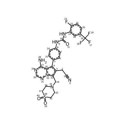 N#CCc1c(-c2ccc(NC(=O)Nc3cc(C(F)(F)F)ccc3F)cc2)c2c(N)ncnn2c1CN1CCS(=O)(=O)CC1